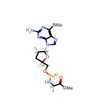 CNc1nc(N)nc2c1ncn2[C@@H]1O[C@](F)(CO[PH](=S)N[C@@H](C)C(=O)OC)C[C@@H]1C